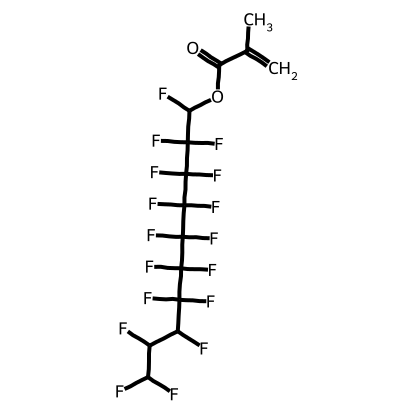 C=C(C)C(=O)OC(F)C(F)(F)C(F)(F)C(F)(F)C(F)(F)C(F)(F)C(F)(F)C(F)C(F)C(F)F